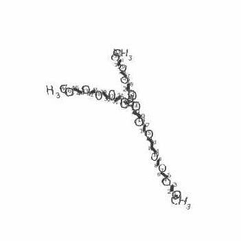 COCCOCCOCCOCCCCOCCOCCOB(OCCOCCOCCOC)OCCOCCOCCOCCOC